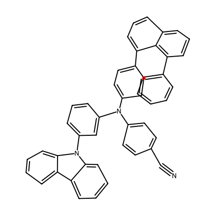 N#Cc1ccc(N(c2ccc(-c3cccc4cccc(-c5ccccc5)c34)cc2)c2cccc(-n3c4ccccc4c4ccccc43)c2)cc1